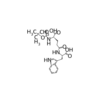 CC(C)(C)OC(=O)N[C@H](CCC(=O)N[C@H](Cc1c[nH]c2ccccc12)C(=O)O)C(=O)O